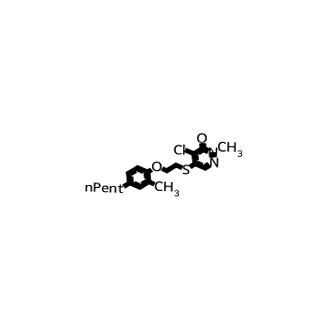 CCCCCc1ccc(OCCSc2cnn(C)c(=O)c2Cl)c(C)c1